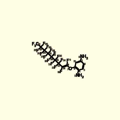 Nc1ccc(N)c(OC(F)=C(F)C(F)(F)C(F)(F)C(F)(F)C(F)(F)C(F)(F)C(F)(F)C(F)(F)F)c1